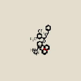 FC(F)(F)c1cc(C(COCc2ccccc2)OC2CCC3C(c4nnn[nH]4)CC2(c2ccccc2)N3Cc2ccccc2)cc(C(F)(F)F)c1